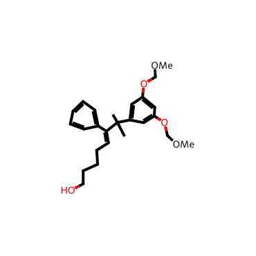 COCOc1cc(OCOC)cc(C(C)(C)/C(=C/CCCCO)c2ccccc2)c1